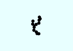 c1ccc(-c2cccc(N(c3ccc(-c4cccc(-c5ccc6c(ccc7ccccc76)c5)c4)cc3)c3ccc(-c4cccc(-c5ccc6c(ccc7ccccc76)c5)c4)cc3)c2)cc1